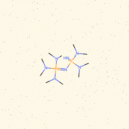 CN(C)P(=N)(N=P(N(C)C)(N(C)C)N(C)C)N(C)C